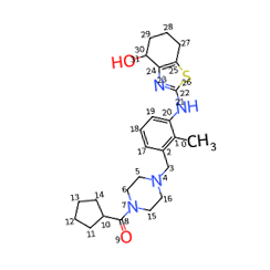 Cc1c(CN2CCN(C(=O)C3CCCC3)CC2)cccc1Nc1nc2c(s1)CCCC2O